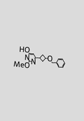 COc1nc(O)cc(C2CC(OCc3ccccc3)C2)n1